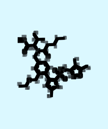 CCCCC(=O)N(Cc1ccc(-c2cc(C)sc2S(=O)(=O)Nc2noc(C)c2C)c(COCC)c1)C(C(=O)O)C(C)C